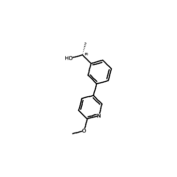 COc1ccc(-c2cccc([C@@H](C)O)c2)cn1